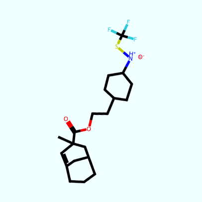 CC1(C(=O)OCCC2CCC([NH+]([O-])SC(F)(F)F)CC2)C=C2CCCC(C2)C1